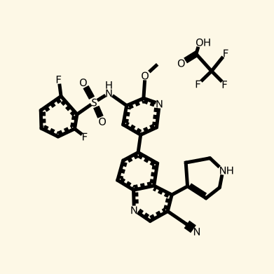 COc1ncc(-c2ccc3ncc(C#N)c(C4=CCNCC4)c3c2)cc1NS(=O)(=O)c1c(F)cccc1F.O=C(O)C(F)(F)F